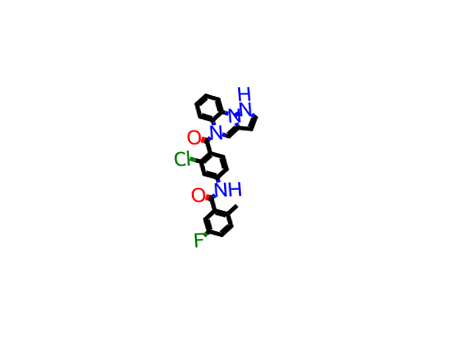 Cc1ccc(F)cc1C(=O)Nc1ccc(C(=O)N2C=C3C=CNN3c3ccccc32)c(Cl)c1